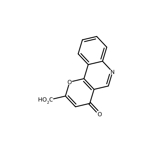 O=C(O)c1cc(=O)c2cnc3ccccc3c2o1